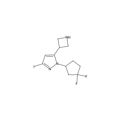 FC1(F)CCC(n2nc(I)cc2C2CNC2)C1